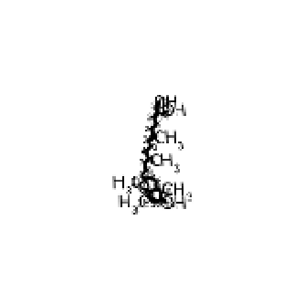 C/C(=C\CC/C(C)=C/CC[C@]1(C)CCc2c(C)c(O)cc(C)c2O1)CCC=C(CO)CO